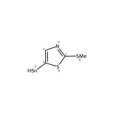 CSc1nc[c]([SnH])s1